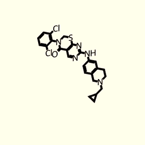 O=C1c2cnc(Nc3ccc4c(c3)CCN(CC3CC3)C4)nc2SCN1c1c(Cl)cccc1Cl